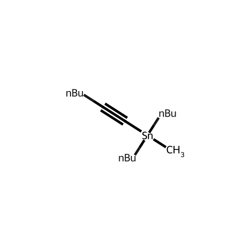 CCCCC#[C][Sn]([CH3])([CH2]CCC)[CH2]CCC